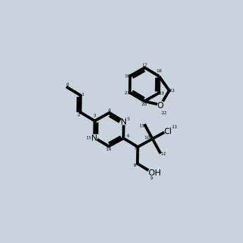 CC=Cc1cnc(C(CO)C(C)(C)Cl)cn1.c1cc2cc(c1)OC2